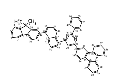 CC1(C)c2ccccc2-c2ccc(-c3cccc4c(-c5cc(-c6ccc(-c7ccccc7)c(-c7ccccc7)c6)nc(-c6ccccc6)n5)cccc34)cc21